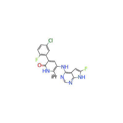 CC(C)c1[nH]c(=O)c(-c2cc(Cl)ccc2F)cc1Nc1ncnc2[nH]c(F)cc12